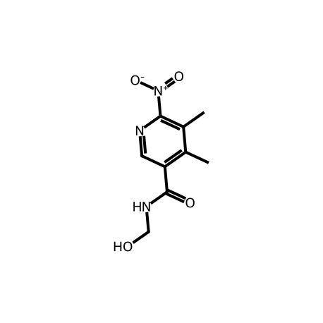 Cc1c(C(=O)NCO)cnc([N+](=O)[O-])c1C